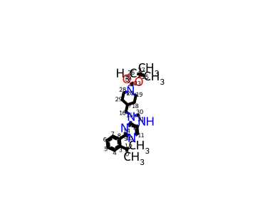 CC(C)c1ccccc1-c1ncc2c(n1)N(CC1CCN(C(=O)OC(C)(C)C)CC1)CN2